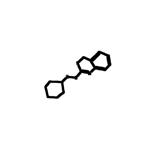 c1ccc2c(c1)CSC(SSC1CCCCC1)=N2